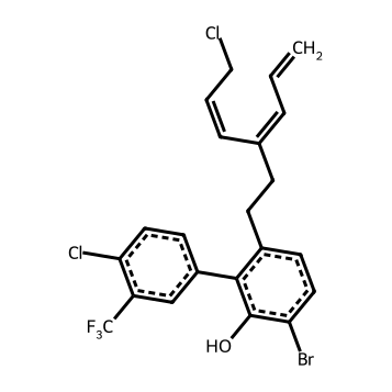 C=C/C=C(\C=C/CCl)CCc1ccc(Br)c(O)c1-c1ccc(Cl)c(C(F)(F)F)c1